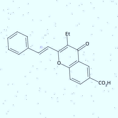 CCc1c(/C=C/c2ccccc2)oc2ccc(C(=O)O)cc2c1=O